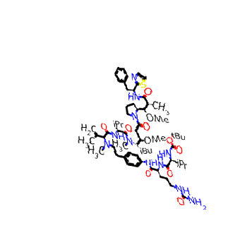 C=C(C)[C@@H](C(=O)N[C@H](C(=O)N(C)[C@@H]([C@@H](C)CC)[C@@H](CC(=O)N1CCC[C@H]1[C@H](OC)[C@@H](C)C(=O)N[C@@H](Cc1ccccc1)c1nccs1)OC)C(C)C)N(C)CCc1ccc(NC(=O)[C@H](CCCNC(N)=O)NC(=O)[C@@H](NC(=O)OC(C)(C)C)C(C)C)cc1